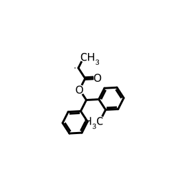 C[CH]C(=O)OC(c1ccccc1)c1ccccc1C